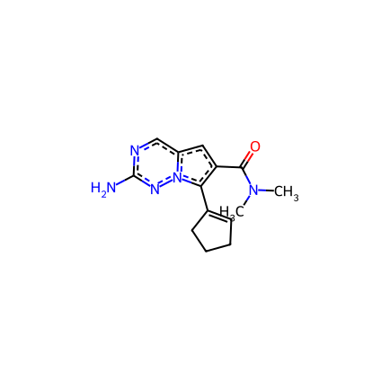 CN(C)C(=O)c1cc2cnc(N)nn2c1C1=CCCC1